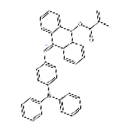 C=C(C)C(=O)OC1c2ccccc2/C(=C/c2ccc(N(c3ccccc3)c3ccccc3)cc2)C2C=CC=CC21